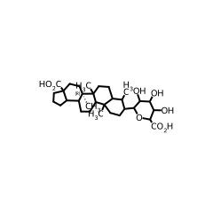 CC1C(C2OC(C(=O)O)C(O)C(O)C2O)CCC2(C)C1CCC1(C)C2CCC2C3CCCC3(C(=O)O)CC[C@]21C